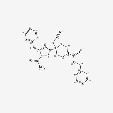 N#CCC1(n2cc(C(N)=O)c(Nc3ccccc3)n2)CCN(C(=O)OCc2ccccc2)CC1